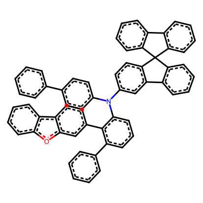 c1ccc(-c2ccc(N(c3ccc4c(c3)-c3ccccc3C43c4ccccc4-c4ccccc43)c3cccc(-c4ccccc4)c3-c3ccc4c(c3)oc3ccccc34)cc2)cc1